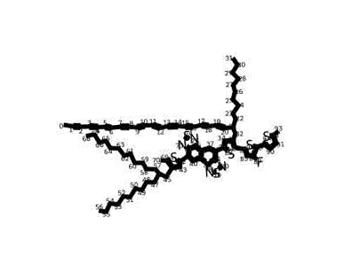 CC#CC#CC#CC#CC#CC#CC#CC#CC#CC#CC(CCCCCCCCCC)Cc1cc(-c2cc3c(cc(-c4cc(CC(CCCCCCCCCC)CCCCCCCCCCCC)c(C)s4)c4nsnc43)c3nsnc23)sc1-c1cc(F)c(-c2ccc(C)s2)s1